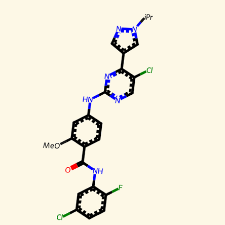 COc1cc(Nc2ncc(Cl)c(-c3cnn(C(C)C)c3)n2)ccc1C(=O)Nc1cc(Cl)ccc1F